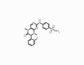 CN1C(=O)C(c2ccccc2F)N(C)c2nc(Nc3ccc(S(N)(=O)=O)cc3)ncc21